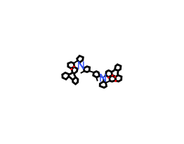 Cc1cc(-c2ccc(N(c3ccc4c5ccccc5c5ccccc5c4c3)c3ccccc3-c3ccccc3)c(C)c2)ccc1N(c1ccc2c3ccccc3c3ccccc3c2c1)c1ccccc1-c1ccccc1